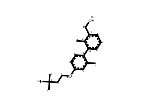 Cc1cc(OCCC(C)(C)F)ccc1-c1cccc(CO)c1C